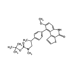 COc1ccc2[nH]c(=O)c3sccc3c2c1-c1ccc(C(C)CN(C)C(=O)OC(C)(C)C)cc1